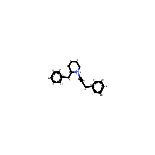 C(#CN1CCCCC1Cc1ccccc1)Cc1ccccc1